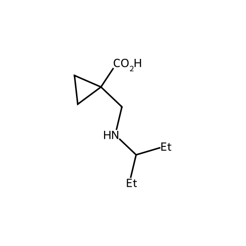 CCC(CC)NCC1(C(=O)O)CC1